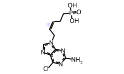 Nc1nc(Cl)c2ncn(C/C=C\CCP(=O)(O)O)c2n1